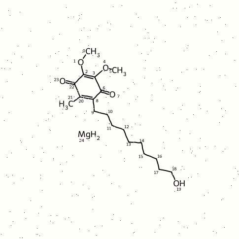 COC1=C(OC)C(=O)C(CCCCCCCCCCO)=C(C)C1=O.[MgH2]